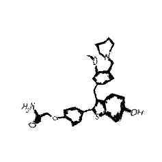 COc1cc(Cc2c(-c3ccc(OCC(N)=O)cc3)sc3cc(O)ccc23)ccc1CN1CCCC1